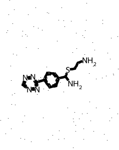 NCCSC(N)c1ccc(-c2nncnn2)cc1